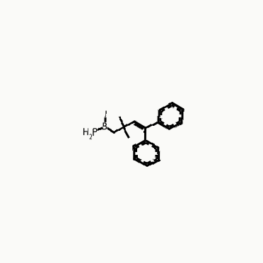 CC(C)(C=C(c1ccccc1)c1ccccc1)CB(P)I